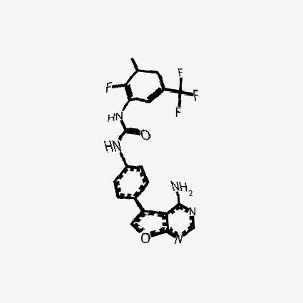 CC1CC(C(F)(F)F)=CC(NC(=O)Nc2ccc(-c3coc4ncnc(N)c34)cc2)=C1F